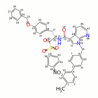 Cc1ccc(-c2ccc(Cn3cc(C(=O)N[C@@H](Cc4ccc(OCc5ccccc5)cc4)C(=O)S(=O)(=O)c4ccc([N+](=O)[O-])cc4)c4cccnc43)cc2)cc1